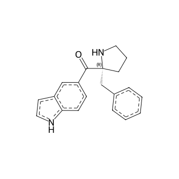 O=C(c1ccc2[nH]ccc2c1)[C@]1(Cc2ccccc2)CCCN1